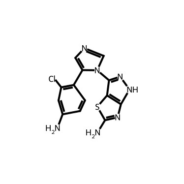 Nc1ccc(-c2cncn2-c2n[nH]c3nc(N)sc23)c(Cl)c1